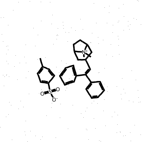 C[N+]1(C)C2CCC1CC(C=C(c1ccccc1)c1ccccc1)C2.Cc1ccc(S(=O)(=O)[O-])cc1